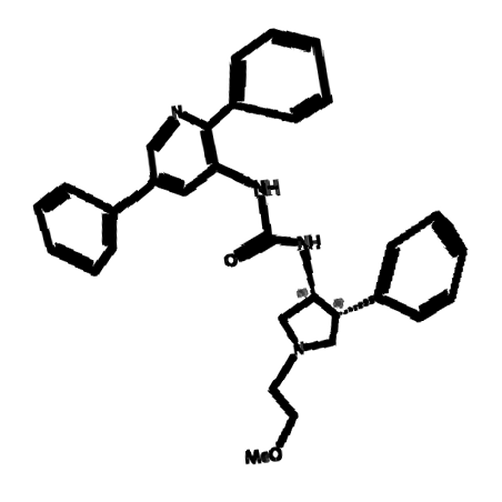 COCCN1C[C@@H](NC(=O)Nc2cc(-c3ccccc3)cnc2-c2ccccc2)[C@H](c2ccccc2)C1